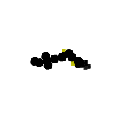 C/C=C\c1c(C)sc2cc3c(ccc4sc5cc(-c6ccc(-c7c8ccccc8c(-c8ccc9c(c8)CCC=C9)c8ccccc78)cc6)ccc5c43)cc12